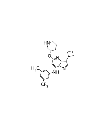 Cc1cc(Nc2cc(O[C@H]3CCCNC3)nc3c(C4CCC4)cnn23)cc(C(F)(F)F)c1